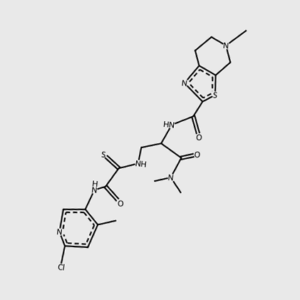 Cc1cc(Cl)ncc1NC(=O)C(=S)NCC(NC(=O)c1nc2c(s1)CN(C)CC2)C(=O)N(C)C